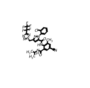 Cc1cc(C#N)cc(C(=O)NC(C)C)c1NC(=O)c1cc(Cn2nnc(C(F)(F)C(F)(F)F)n2)nn1-c1ccccc1Cl